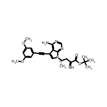 COc1cc(C#Cc2cn([C@@H](C)CC(=N)C(=O)OC(C)(C)C)c3ncnc(N)c23)cc(OC)c1